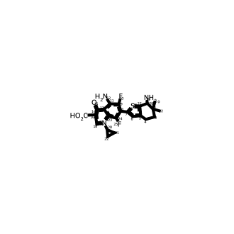 CC1(C)CCc2cc(-c3c(F)c(N)c4c(=O)c(C(=O)O)cn(C5CC5)c4c3F)sc2C1N